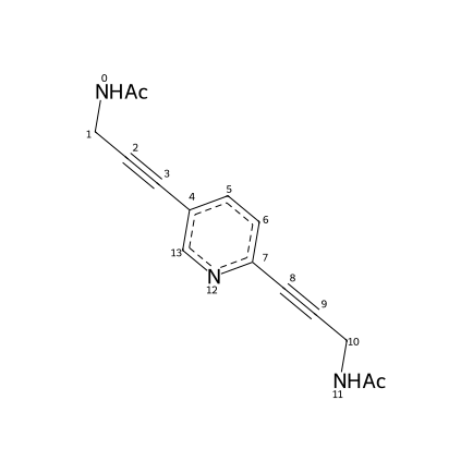 CC(=O)NCC#Cc1ccc(C#CCNC(C)=O)nc1